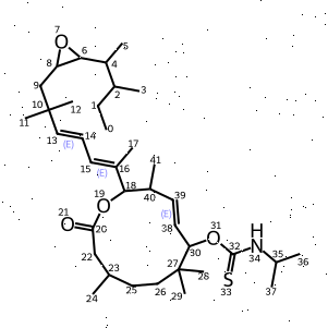 CCC(C)C(C)C1OC1CC(C)(C)/C=C/C=C(\C)C1OC(=O)CC(C)CCC(C)(C)C(OC(=S)NC(C)C)/C=C/C1C